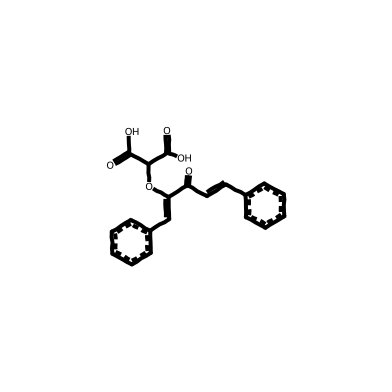 O=C(C=Cc1ccccc1)C(=Cc1ccccc1)OC(C(=O)O)C(=O)O